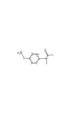 CC(=O)N(C)c1ccc(CN)cn1